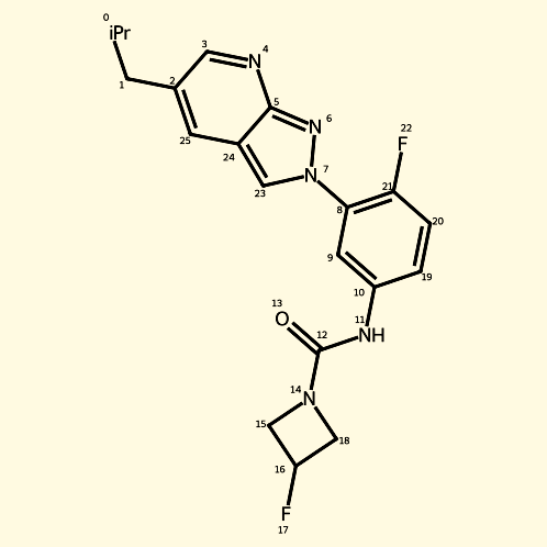 CC(C)Cc1cnc2nn(-c3cc(NC(=O)N4CC(F)C4)ccc3F)cc2c1